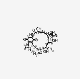 CO[C@H]1/C=C\C=C(/C)C(=O)NC2=CC(=O)C(N3CCC3)=C(C[C@@H](C)C[C@H](OC)[C@H](O)[C@@H](C)/C=C(\CO)[C@@H]1OC(N)=O)C2=O